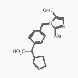 CCCCc1ncc(C=O)n1Cc1ccc(C(C(=O)O)C2CCCC2)cc1